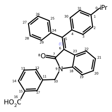 CC(C)c1ccc(/C(=C2/C(=O)N(Cc3cccc(C(=O)O)c3)c3ccccc32)c2ccccc2)cc1